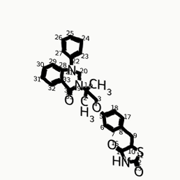 CC(C)(COc1ccc(CC2SC(=O)NC2=O)cc1)N1CN(c2ccccc2)c2ccccc2C1=O